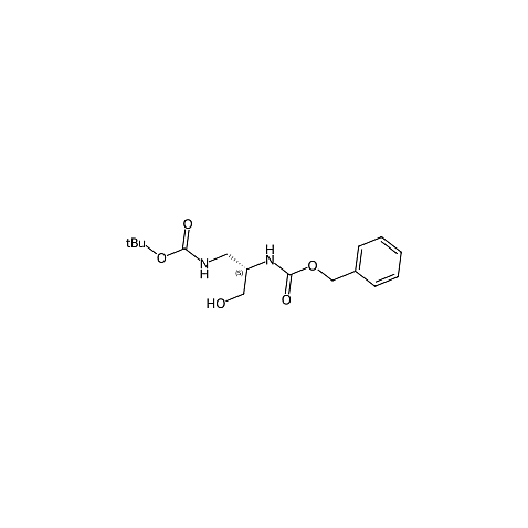 CC(C)(C)OC(=O)NC[C@@H](CO)NC(=O)OCc1ccccc1